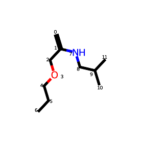 C=C(COCCC)NCC(C)C